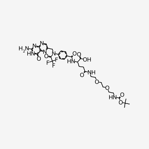 CC(C)(C)OC(=O)NCCOCCOCCNC(=O)CCC(NC(=O)c1ccc(N(Cc2cnc3nc(N)[nH]c(=O)c3n2)C(=O)C(F)(F)F)cc1)C(=O)O